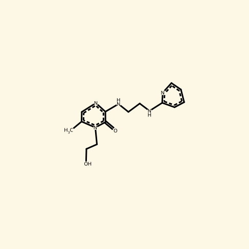 Cc1cnc(NCCNc2ccccn2)c(=O)n1CCO